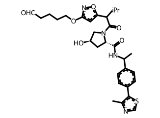 Cc1ncsc1-c1ccc(C(C)NC(=O)[C@@H]2C[C@@H](O)CN2C(=O)C(c2cc(OCCCCC=O)no2)C(C)C)cc1